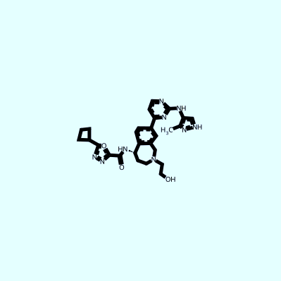 Cc1n[nH]cc1Nc1nccc(-c2ccc3c(c2)CN(CCO)CC[C@@H]3NC(=O)c2nnc(C3CCC3)o2)n1